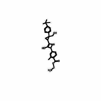 Cc1cc(C2NC(C3CC3(CO)c3ccc(C(C)(C)C)cc3)=C2O)ccc1C(=O)OSN